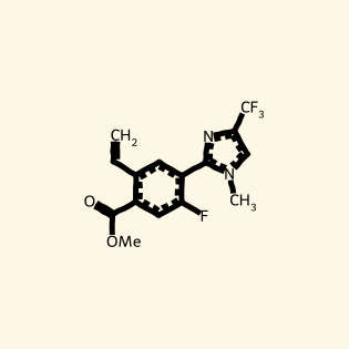 C=Cc1cc(-c2nc(C(F)(F)F)cn2C)c(F)cc1C(=O)OC